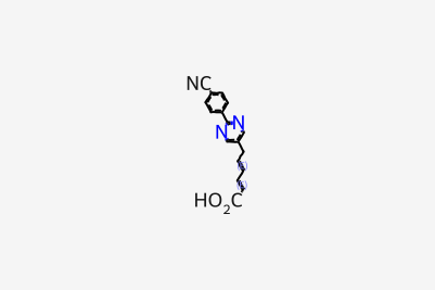 N#Cc1ccc(-c2ncc(C/C=C/C=C/C(=O)O)cn2)cc1